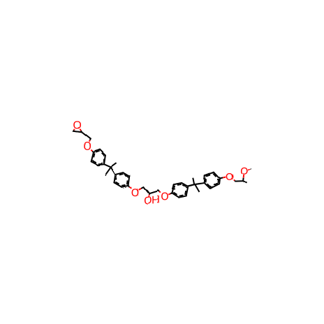 COC(C)COc1ccc(C(C)(C)c2ccc(OCC(O)COc3ccc(C(C)(C)c4ccc(OCC5CO5)cc4)cc3)cc2)cc1